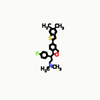 Cc1cc2cc(-c3ccc4c(c3)COC4C(CCN(C)C)c3ccc(F)cc3)sc2cc1C